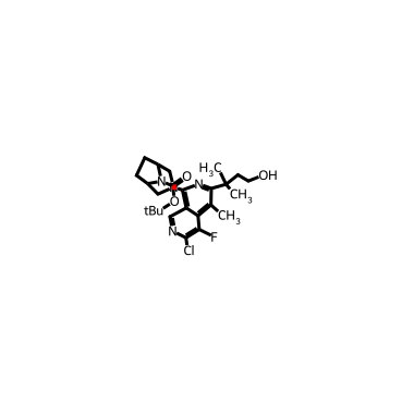 Cc1c(C(C)(C)CCO)nc(N2CC3CCC(C2)N3C(=O)OC(C)(C)C)c2cnc(Cl)c(F)c12